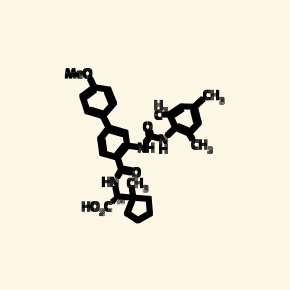 COc1ccc(-c2ccc(C(=O)N[C@H](C(=O)O)C3(C)CCCC3)c(NC(=O)Nc3c(C)cc(C)cc3C)c2)cc1